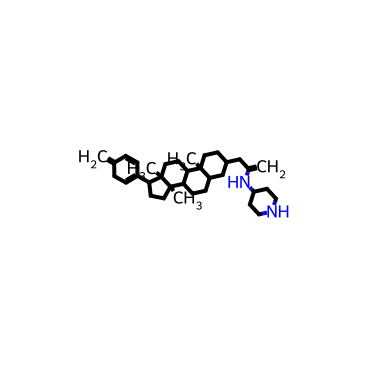 C=C1C=CC(C2CCC3(C)C4CCC5CC(CC(=C)NC6CCNCC6)CCC5(C)C4CCC23C)=CC1